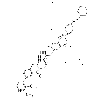 COC(=O)C(Cc1ccc(-c2ccnc(C)c2C)cc1)NC(=O)[C@@H]1Cc2cc3c(cc2CN1)O[C@@H](c1ccc(OCC2CCCCC2)cc1)CO3